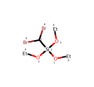 CCO[Si](OCC)(OCC)C(Br)Br